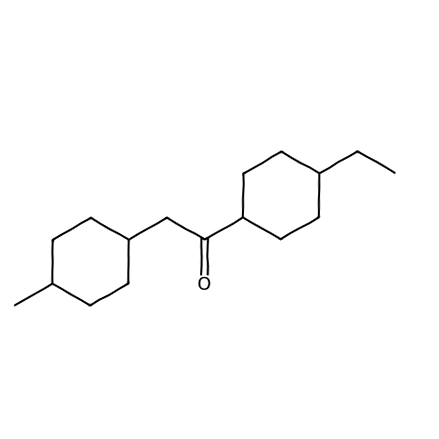 CCC1CCC(C(=O)CC2CCC(C)CC2)CC1